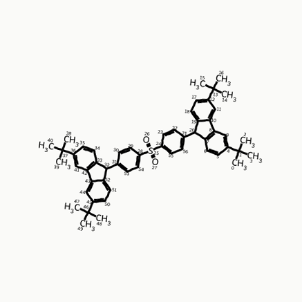 CC(C)(C)c1ccc2c(c1)-c1cc(C(C)(C)C)ccc1C2c1ccc(S(=O)(=O)c2ccc(C3c4ccc(C(C)(C)C)cc4-c4cc(C(C)(C)C)ccc43)cc2)cc1